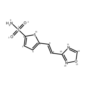 NS(=O)(=O)c1ccc(C=Cc2ncon2)s1